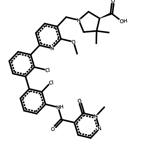 COc1nc(-c2cccc(-c3cccc(NC(=O)c4ccnn(C)c4=O)c3Cl)c2Cl)ccc1CN1C[C@@H](C(=O)O)C(C)(C)C1